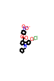 O=C(Oc1ccc([N+](=O)[O-])cc1)c1cccc2c1c1cc(OCCl)ccc1n2Cc1ccccc1